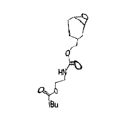 CCC(C)C(=O)OCCNC(=O)OCC1CCC2OC2C1